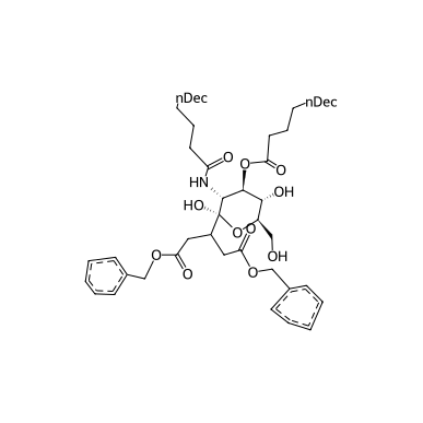 CCCCCCCCCCCCCC(=O)N[C@@H]1[C@@H](OC(=O)CCCCCCCCCCCCC)[C@H](O)[C@@H](CO)O[C@@]1(O)C(CC(=O)OCc1ccccc1)CC(=O)OCc1ccccc1